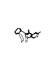 COc1ccccc1-c1[nH]c2cnc(C)cc2c1C